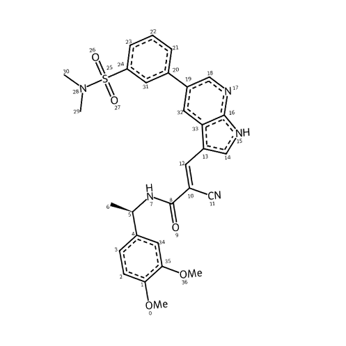 COc1ccc([C@@H](C)NC(=O)/C(C#N)=C/c2c[nH]c3ncc(-c4cccc(S(=O)(=O)N(C)C)c4)cc23)cc1OC